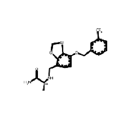 C[C@H](NCc1ccc(OCc2cccc(C(F)(F)F)c2)c2c1OCO2)C(N)=O